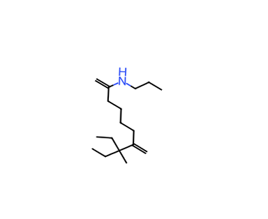 C=C(CCCCC(=C)C(C)(CC)CC)NCCC